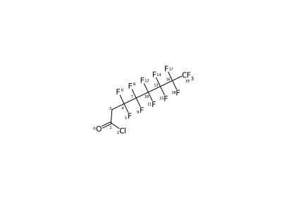 O=C(Cl)CC(F)(F)C(F)(F)C(F)(F)C(F)(F)C(F)(F)C(F)(F)F